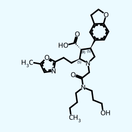 CCCCN(CCCO)C(=O)CN1C[C@H](c2ccc3c(c2)CCO3)[C@@H](C(=O)O)[C@@H]1CCc1ncc(C)o1